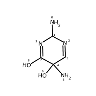 NC1N=CC(N)(O)C(O)=N1